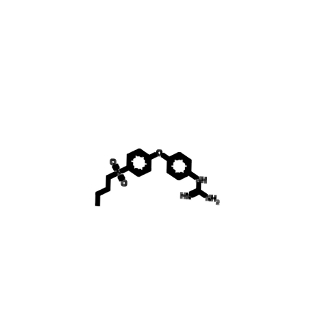 CCCCS(=O)(=O)c1ccc(Oc2ccc(NC(=N)N)cc2)cc1